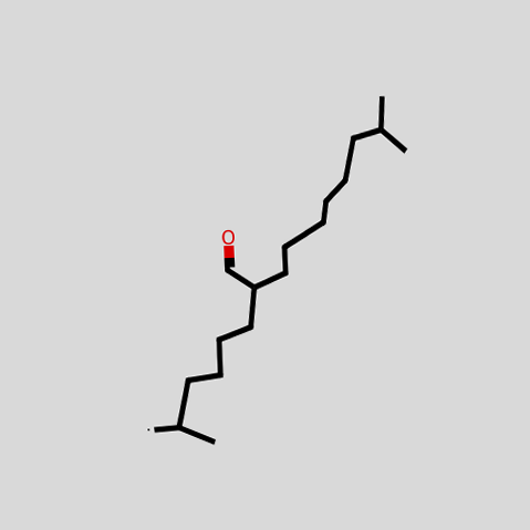 [CH2]C(C)CCCCC(C=O)CCCCCCC(C)C